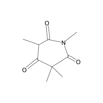 CC1C(=O)N(C)C(=O)C(C)(C)C1=O